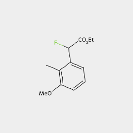 CCOC(=O)C(F)c1cccc(OC)c1C